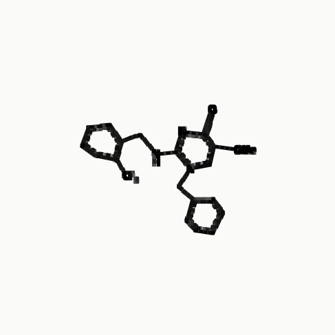 COc1cn(Cc2ccccc2)c(NCc2ccccc2C(F)(F)F)nc1=O